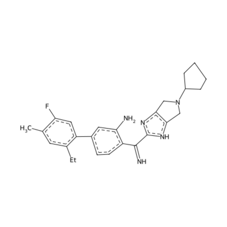 CCc1cc(C)c(F)cc1-c1ccc(C(=N)c2nc3c([nH]2)CN(C2CCCC2)C3)c(N)c1